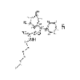 CCCCCCCNC(=O)c1oc(-c2ccc(Cl)cc2)c2cc(C)cc(C)c12